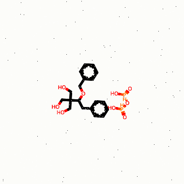 O=[PH](O)O[PH](=O)O.OCC(CO)(CO)C(Cc1ccccc1)OCc1ccccc1